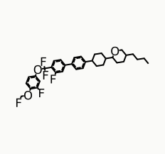 CCCCC1CCC(C2CCC(c3ccc(-c4ccc(C(F)(F)Oc5ccc(OCF)c(F)c5)c(F)c4)cc3)CC2)OC1